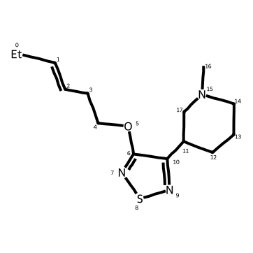 CCC=CCCOc1nsnc1C1CCCN(C)C1